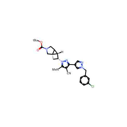 CNc1c(C#N)c(-c2cnn(Cc3cccc(Cl)c3)c2)nn1[C@@H]1C[C@]23CN(C(=O)OC(C)(C)C)CC2[C@H]13